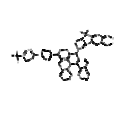 CC(C)(C)c1ccc(-c2ccc(-c3ccc(N(c4ccc5c(c4)-c4cc6ccccc6cc4C5(C)C)c4ccc5ccccc5c4-c4cccc5ccccc45)cc3)cc2)cc1